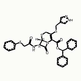 O=C(CSc1ccccc1)N[C@@H]1C(=O)N2C(C(=O)OC(c3ccccc3)c3ccccc3)=C(SCc3cn[nH]c3)CS[C@@H]12